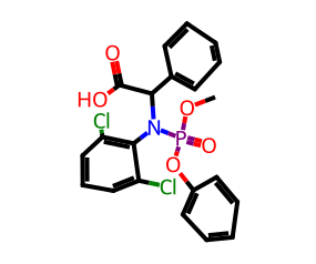 COP(=O)(Oc1ccccc1)N(c1c(Cl)cccc1Cl)C(C(=O)O)c1ccccc1